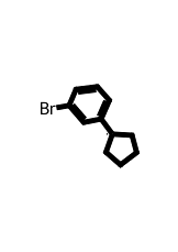 Brc1cccc([C]2CCCC2)c1